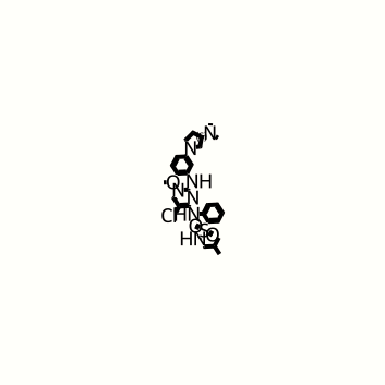 COc1ccc(N2CC[C@H](N(C)C)C2)cc1Nc1ncc(Cl)c(Nc2ccccc2S(=O)(=O)NCC(C)C)n1